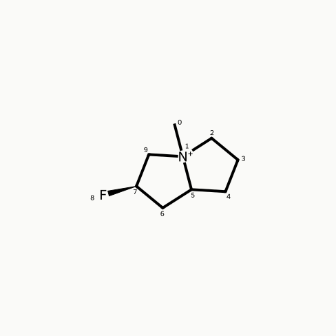 C[N+]12CCCC1C[C@@H](F)C2